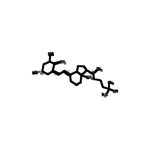 C=C1/C(=C\C=C2/CCCC3(C)C2CCC3[C@@H](C)CCCC(C)(C)O)C[C@H](O)CC1O